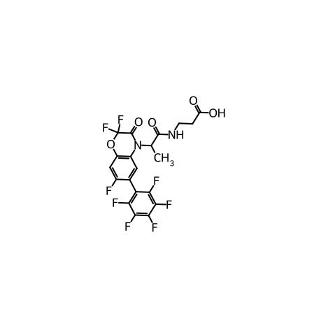 CC(C(=O)NCCC(=O)O)N1C(=O)C(F)(F)Oc2cc(F)c(-c3c(F)c(F)c(F)c(F)c3F)cc21